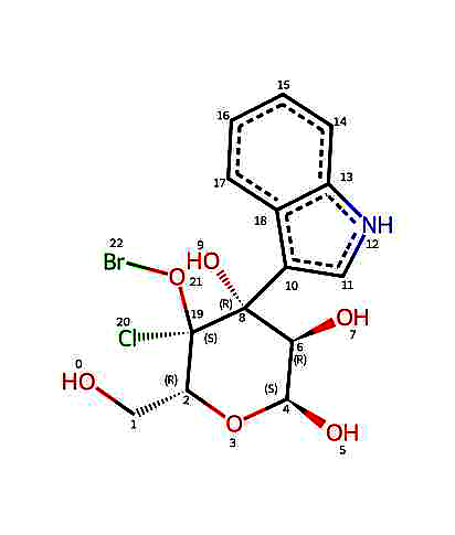 OC[C@H]1O[C@H](O)[C@H](O)[C@](O)(c2c[nH]c3ccccc23)[C@]1(Cl)OBr